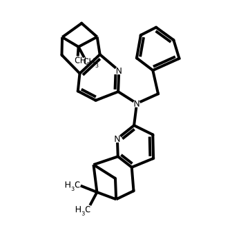 CC1(C)C2Cc3ccc(N(Cc4ccccc4)c4ccc5c(n4)C4CC(C5)C4(C)C)nc3C1C2